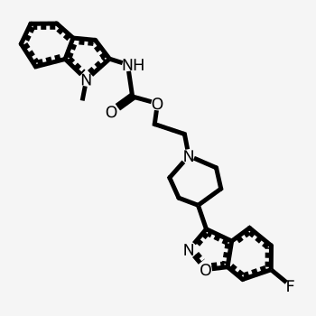 Cn1c(NC(=O)OCCN2CCC(c3noc4cc(F)ccc34)CC2)cc2ccccc21